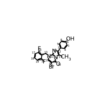 Cc1c(-c2ccc(O)cc2)nc2n(Cc3c(F)cccc3F)cc(Br)c(=O)n12